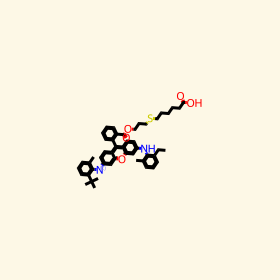 CCc1cccc(C)c1Nc1ccc2c(-c3ccccc3C(=O)OCCCSCCCCCC(=O)O)c3cc/c(=N\c4c(C)cccc4C(C)(C)C)cc-3oc2c1